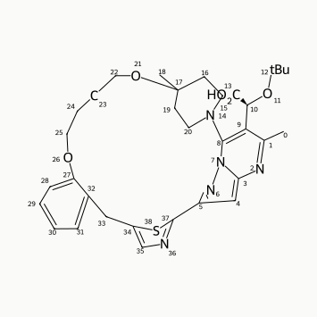 Cc1nc2cc3nn2c(c1[C@H](OC(C)(C)C)C(=O)O)N1CCC(C)(CC1)OCCCCOc1ccccc1Cc1cnc-3s1